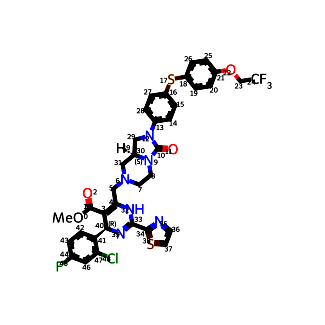 COC(=O)C1=C(CN2CCN3C(=O)N(c4ccc(Sc5ccc(OCC(F)(F)F)cc5)cc4)C[C@@H]3C2)NC(c2nccs2)=N[C@H]1c1ccc(F)cc1Cl